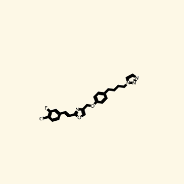 Fc1cc(C=Cc2nc(COc3ccc(CCCCn4ccnn4)cc3)co2)ccc1Cl